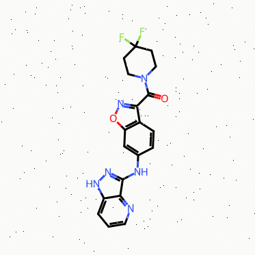 O=C(c1noc2cc(Nc3n[nH]c4cccnc34)ccc12)N1CCC(F)(F)CC1